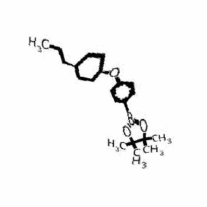 CCC[C@H]1CC[C@@H](Oc2ccc(B3OC(C)(C)C(C)(C)O3)cc2)CC1